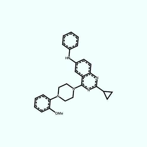 COc1ccccc1N1CCN(c2nc(C3CC3)nc3ccc(Nc4ccccc4)cc23)CC1